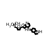 CN(C)Cc1ccc(-c2cc3c(Nc4ccc5[nH]ccc5c4)ccnc3s2)o1